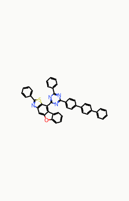 c1ccc(-c2ccc(-c3ccc(-c4nc(-c5ccccc5)nc(-c5c6sc(-c7ccccc7)nc6cc6oc7ccccc7c56)n4)cc3)cc2)cc1